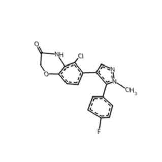 Cn1ncc(-c2ccc3c(c2Cl)NC(=O)CO3)c1-c1ccc(F)cc1